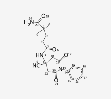 CC(C)(C[CH]C(=O)NC1(C#N)CC(=O)N(c2ccccc2)C(=O)C1)C(N)=O